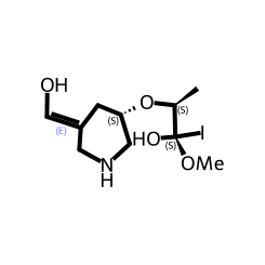 CO[C@](O)(I)[C@H](C)O[C@@H]1CNC/C(=C/O)C1